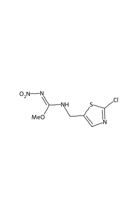 CO/C(=N\[N+](=O)[O-])NCc1cnc(Cl)s1